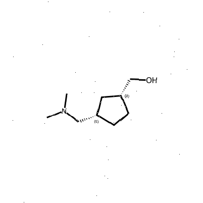 CN(C)C[C@H]1CC[C@@H](CO)C1